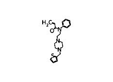 C=CC(=O)N(CCN1CCN(Cc2cccs2)CC1)c1ccccc1